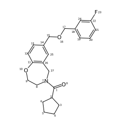 O=C(C1CCCC1)N1CCOc2ccc(COCc3cccc(F)c3)cc2C1